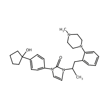 CC(Cc1ccccc1N1CCN(C)CC1)n1ccn(-c2ccc(C3(O)CCCC3)cc2)c1=O